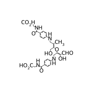 C/C(CNc1ccc(C(=O)NCC(=O)O)cc1)=C(/CO)O/C(CNc1ccc(C(=O)NCC(=O)O)cc1)=C(/O)C=O